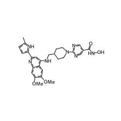 COc1cc2nc(-c3ccc(C)[nH]3)cc(NCC3CCN(c4ncc(C(=O)NO)cn4)CC3)c2cc1OC